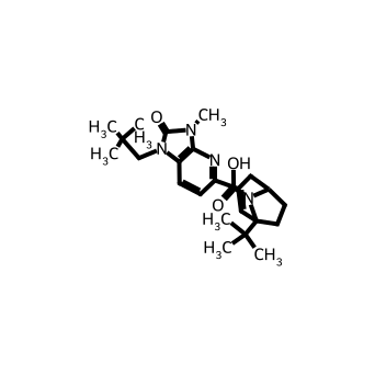 Cn1c(=O)n(CC(C)(C)C)c2ccc(C3=CC4(C(C)(C)C)CCC(C3)N4C(=O)O)nc21